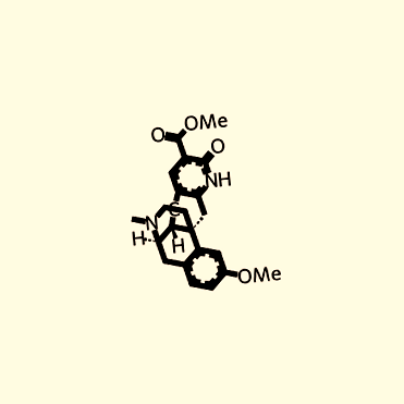 COC(=O)c1cc2c([nH]c1=O)C[C@]13CCN(C)[C@H](Cc4ccc(OC)cc41)[C@@H]3C2